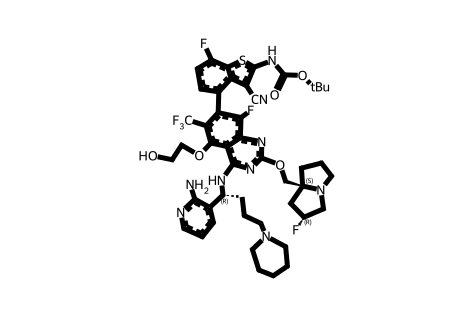 CC(C)(C)OC(=O)Nc1sc2c(F)ccc(-c3c(C(F)(F)F)c(OCCO)c4c(N[C@H](CCCN5CCCCC5)c5cccnc5N)nc(OC[C@@]56CCCN5C[C@H](F)C6)nc4c3F)c2c1C#N